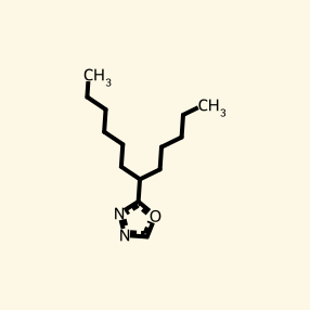 CCCCCCC(CCCCC)c1nnco1